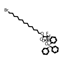 O=C(OCCCCCCCCCCCCCBr)C(F)(F)S(=O)(=O)OS(c1ccccc1)(c1ccccc1)c1ccccc1